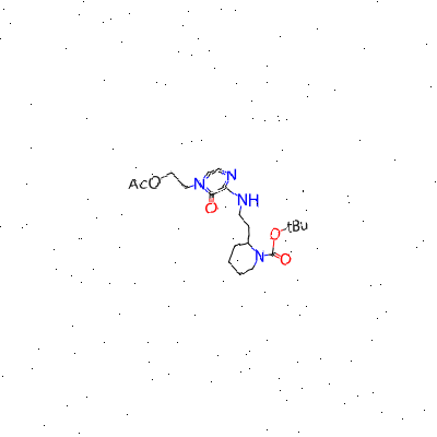 CC(=O)OCCn1ccnc(NCCC2CCCCN2C(=O)OC(C)(C)C)c1=O